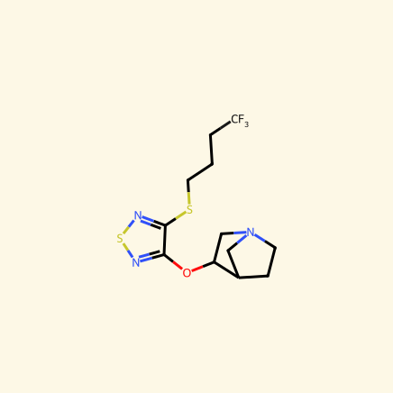 FC(F)(F)CCCSc1nsnc1OC1CN2CCC1C2